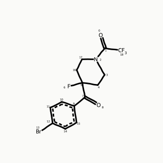 O=C(N1CCC(F)(C(=O)c2ccc(Br)cc2)CC1)C(F)(F)F